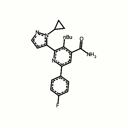 CCCCc1c(C(N)=O)cc(-c2ccc(F)cc2)nc1-c1ccnn1C1CC1